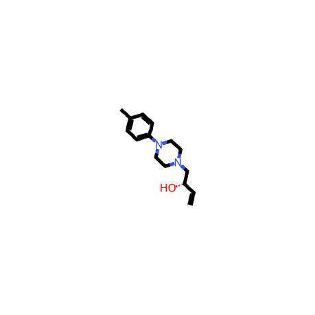 C=C[C@H](O)CN1CCN(c2ccc(C)cc2)CC1